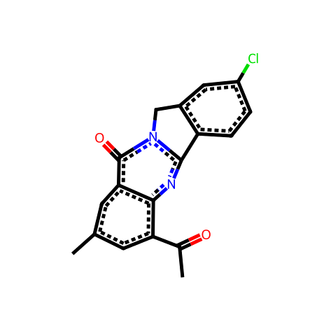 CC(=O)c1cc(C)cc2c(=O)n3c(nc12)-c1ccc(Cl)cc1C3